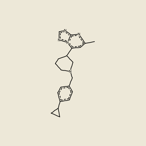 Cc1cc(C2CCCN(Cc3ccc(C4CC4)cc3)C2)n2ncnc2n1